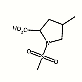 CC1CC(C(=O)O)N(S(C)(=O)=O)C1